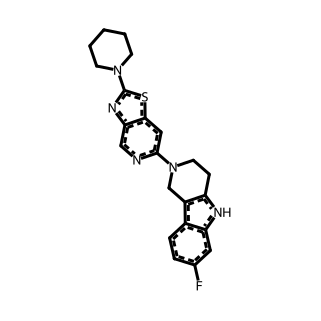 Fc1ccc2c3c([nH]c2c1)CCN(c1cc2sc(N4CCCCC4)nc2cn1)C3